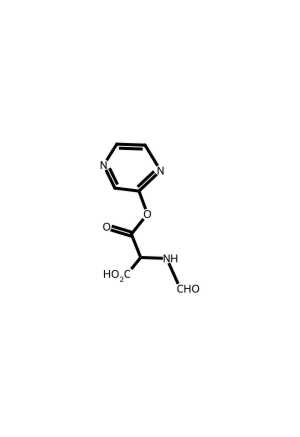 O=CNC(C(=O)O)C(=O)Oc1cnccn1